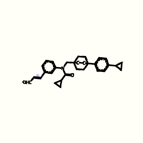 O=[C]/C=C/c1cccc(N(CC23CCC(c4ccc(C5CC5)cc4)(CC2)CC3)C(=O)C2CC2)c1